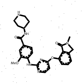 COc1cc(C(=O)NC2CCNCC2)ccc1Nc1nccc(Oc2cccc3c2C(=O)N(C)C3)n1